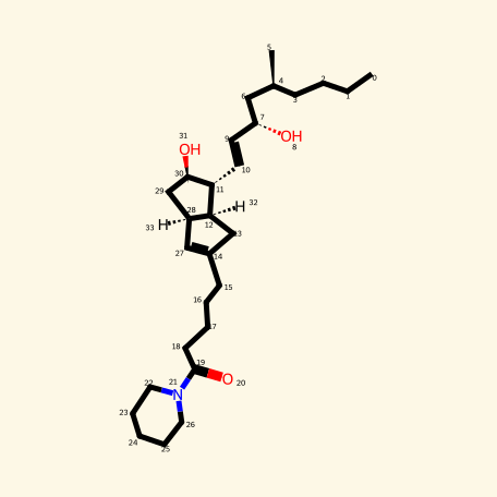 CCCC[C@H](C)C[C@H](O)/C=C/[C@@H]1[C@H]2CC(CCCCC(=O)N3CCCCC3)=C[C@H]2C[C@H]1O